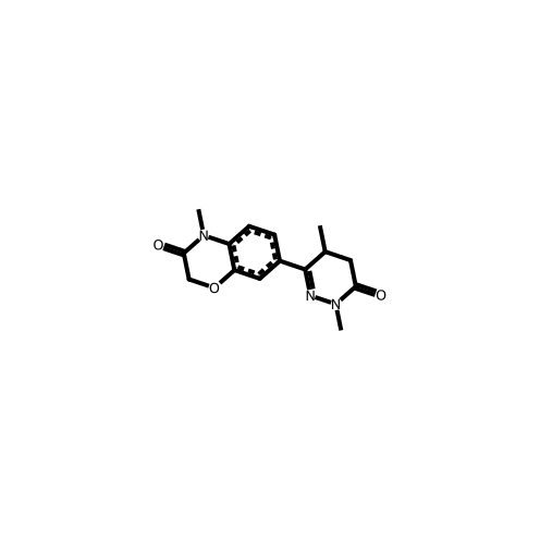 CC1CC(=O)N(C)N=C1c1ccc2c(c1)OCC(=O)N2C